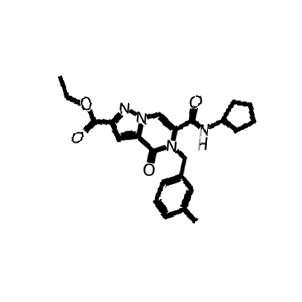 CCOC(=O)c1cc2c(=O)n(Cc3cccc(C)c3)c(C(=O)NC3CCCC3)cn2n1